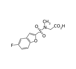 CN(CC(=O)O)S(=O)(=O)c1cc2cc(F)ccc2o1